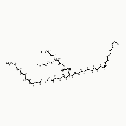 CCCCCCCC/C=C\CCCCCCCCOCC(COCCCCCCCC/C=C\CCCCCCCC)NC(=O)OCCN(CCCC)CCCC